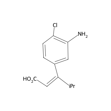 CC(C)/C(=C/C(=O)O)c1ccc(Cl)c(N)c1